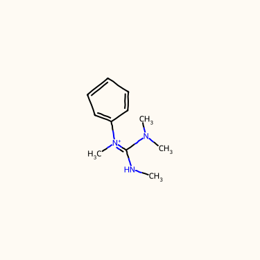 CNC(N(C)C)=[N+](C)c1ccccc1